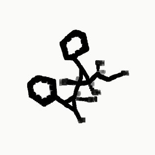 OC[C@@H](O)[C@]1(O)C(c2ccccc2)[C@@]1(O)[C@@]1(O)C(O)C1c1ccccc1